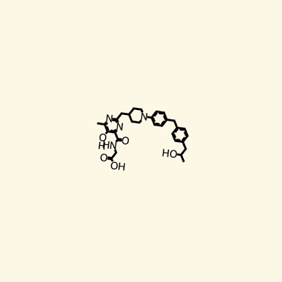 Cc1nc(CC2CCN(c3ccc(Cc4ccc(CC(C)O)cc4)cc3)CC2)nc(C(=O)NCC(=O)O)c1O